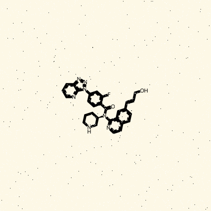 O=C(c1ccc(-n2nnc3cccnc32)cc1F)N(c1nccc2ccc(C=CCO)cc12)[C@@H]1CCCNC1